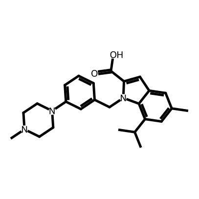 Cc1cc(C(C)C)c2c(c1)cc(C(=O)O)n2Cc1cccc(N2CCN(C)CC2)c1